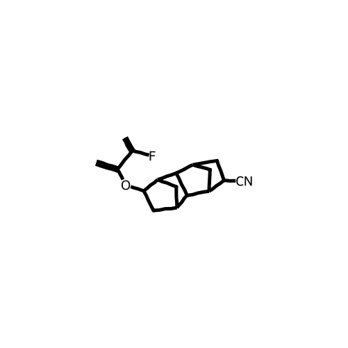 C=C(F)C(=C)OC1CC2CC1C1C3CC(C#N)C(C3)C21